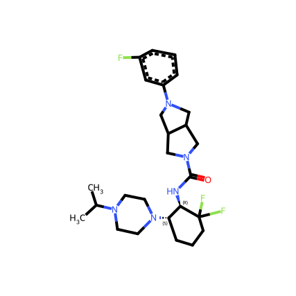 CC(C)N1CCN([C@H]2CCCC(F)(F)[C@@H]2NC(=O)N2CC3CN(c4cccc(F)c4)CC3C2)CC1